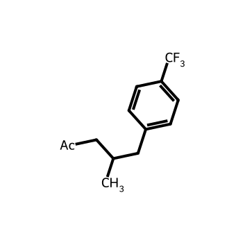 CC(=O)CC(C)Cc1ccc(C(F)(F)F)cc1